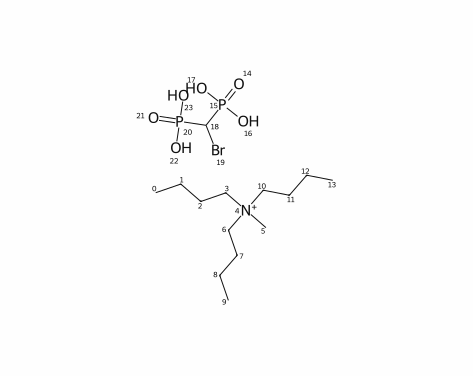 CCCC[N+](C)(CCCC)CCCC.O=P(O)(O)C(Br)P(=O)(O)O